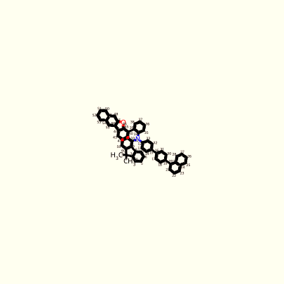 CC1(C)c2ccccc2-c2c(N(c3ccc(-c4ccc(-c5cccc6ccccc56)cc4)cc3)c3ccccc3-c3cccc4c3oc3cc5ccccc5cc34)cccc21